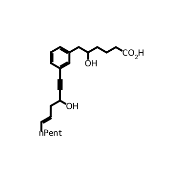 CCCCCC=CCC(O)C#Cc1cccc(CC(O)CCCC(=O)O)c1